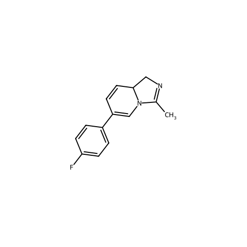 CC1=NCC2C=CC(c3ccc(F)cc3)=CN12